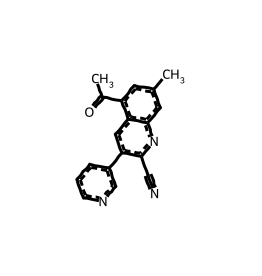 CC(=O)c1cc(C)cc2nc(C#N)c(-c3cccnc3)cc12